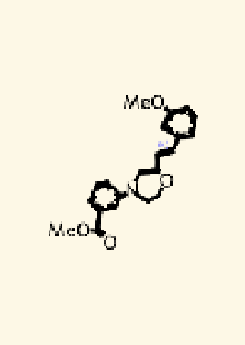 COC(=O)c1cccc(N2CCOC(/C=C/c3cccc(OC)c3)C2)c1